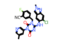 Cc1cncc(-n2c(=O)nc(Nc3cc4cn(C)nc4cc3Cl)n(Cc3ccc(F)c(C#N)c3)c2=O)c1